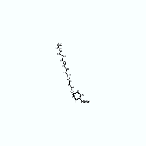 CNc1ccc(OCCCOCCCCOCCCOCC(C)=O)cc1